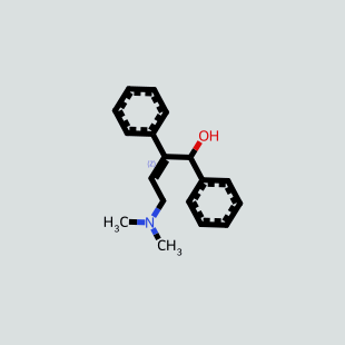 CN(C)C/C=C(/c1ccccc1)C(O)c1ccccc1